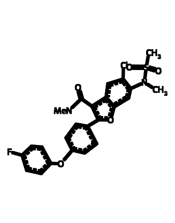 CNC(=O)c1c(-c2ccc(Oc3ccc(F)cc3)cc2)oc2cc(N(C)S(C)(=O)=O)c(Cl)cc12